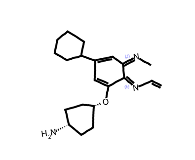 C=C/N=C1/C(O[C@H]2CC[C@@H](N)CC2)=CC(C2CCCCC2)=C/C1=N/C